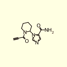 C#CC(=O)N1CCCCC1n1cncc1C(N)=O